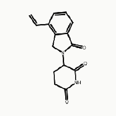 C=Cc1cccc2c1CN(C1CCC(=O)NC1=O)C2=O